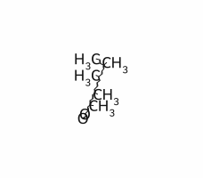 C/C=C/C(C)=C\C=C\C(C)=C\C=C\C=C(C)\C=C\C=C(C)\C=C\OC=O